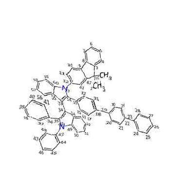 CC1(C)c2ccccc2-c2ccc(-n3c(-c4ccc(-c5ccc(-c6ccccc6)cc5)cc4)c(-c4c(-c5ccccc5)n(-c5ccccc5)c5ccccc45)c4ccccc43)cc21